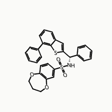 O=S(=O)(N[C@@H](c1ccccc1)c1cc2cccc(-c3ccccc3)c2s1)c1ccc2c(c1)OCCCO2